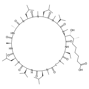 CC[C@@H]1NC(=O)[C@H]([C@H](O)[C@H](C)CCCCCC(=O)O)N(C)C(=O)[C@H](C(C)C)N(C)C(=O)[C@H](CC(C)C)N(C)C(=O)[C@H](CC(C)C)N(C)C(=O)[C@@H](C)NC(=O)[C@H](C)NC(=O)[C@H](CC(C)C)N(C)C(=O)[C@H](C(C)C)NC(=O)[C@H](CC(C)C)N(C)C(=O)CN(C)C1=O